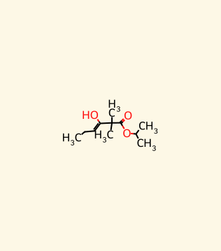 CCC=C(O)C(C)(C)C(=O)OC(C)C